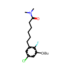 CC(C)COc1cc(Cl)cc(CCCCCC(=O)N(C)C)c1F